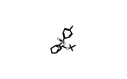 Cc1ccc(S(=O)(=O)C2CC3CCC2N3C(=O)OC(C)(C)C)cc1